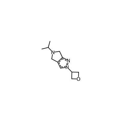 CC(C)N1Cc2cn(C3COC3)nc2C1